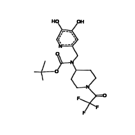 CC(C)(C)OC(=O)N(Cc1cc(O)c(O)cn1)C1CCN(C(=O)C(F)(F)F)CC1